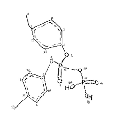 Cc1ccc(OP(=O)(Oc2ccc(C)cc2)OP(=O)(O)O)cc1